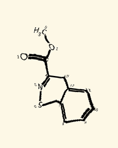 COC(=O)C1=NSc2ccccc2C1